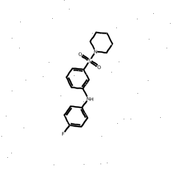 O=S(=O)(c1cccc(Nc2ccc(F)cc2)c1)N1CCCCC1